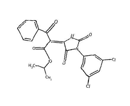 CC(C)OC(=O)C(C(=O)c1ccccc1)=C1NC(=O)N(c2cc(Cl)cc(Cl)c2)C1=O